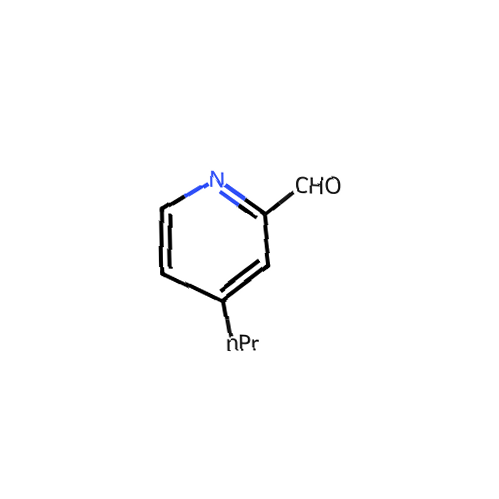 CCCc1ccnc(C=O)c1